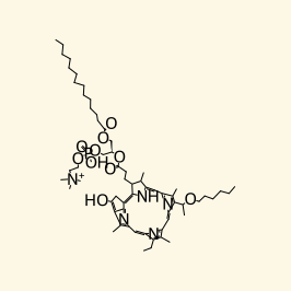 CCCCCCCCCCCCCC(=O)OC[C@H](COP(=O)(O)OCC[N+](C)(C)C)OC(=O)CCC1C2=C3CC(O)=C4C3=NC(=C4C)C=C3N=C(C=C4N=C(C=C(N2)C1C)C(C)=C4C(C)OCCCCCC)C(C)=C3CC